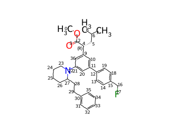 COC(=O)[C@H](CC(C)C)c1cc(-c2ccc(CF)cc2)cc(N2CCCCC2CCc2ccccc2)c1